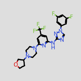 Fc1cc(F)cc(-n2cnc(Nc3cc(C(F)(F)F)cc(N4CCN(C5CCOC5)CC4)n3)n2)c1